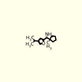 CC(C)c1coc([C@H](N)C2(C)CCCC2)c1